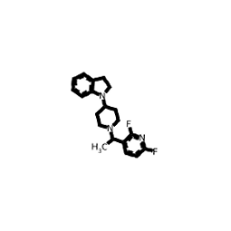 CC(c1ccc(F)nc1F)N1CCC(N2CCc3ccccc32)CC1